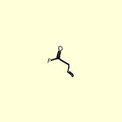 C=CCC(=O)F